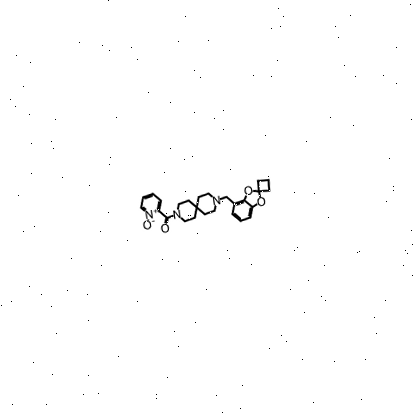 O=C(c1cccc[n+]1[O-])N1CCC2(CCN(Cc3cccc4c3OC3(CCC3)O4)CC2)CC1